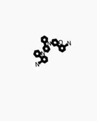 N#Cc1cccc2c1oc1ccc(-n3c4ccccc4c4cc(-n5c6ccccc6c6c(C#N)cccc65)ccc43)cc12